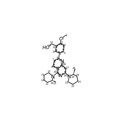 COc1ccc(-c2ccc3c(N4CCCC[C@@H]4C)nc(N4CCCC[C@@H]4C)cc3n2)cc1CO